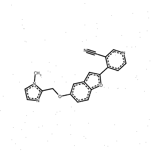 Cn1ccnc1COc1ccc2oc(-c3ccncc3C#N)cc2c1